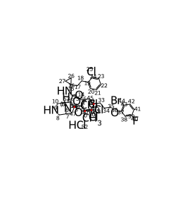 CC(C)(OC(=O)N1C2CNC[C@@H]1C(C(=O)NC1(CCc3ccccc3Cl)CC1)=C(c1ccc(CCCOc3cc(F)ccc3Br)cc1)C2)C(Cl)(Cl)Cl.Cl